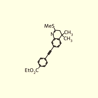 CCOC(=O)c1ccc(C#Cc2ccc3c(c2)N=C(SC)CC3(C)C)cc1